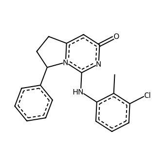 Cc1c(Cl)cccc1Nc1nc(=O)cc2n1C(c1ccccc1)CC2